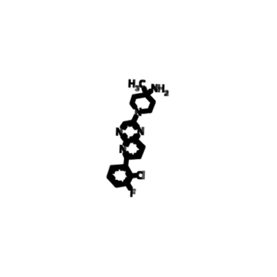 CC1(N)CCN(c2cnc3nc(-c4cccc(F)c4Cl)ccc3n2)CC1